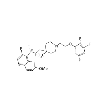 COc1ccc2ncc(F)c([C@H](F)CCC3(C(=O)O)CCN(CCOc4cc(F)cc(F)c4F)CC3)c2c1